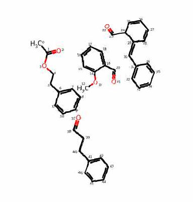 CC(=O)OCCc1ccccc1.COc1ccccc1C=O.O=CC1C=CC=CC1=Cc1ccccc1.O=CCCc1ccccc1